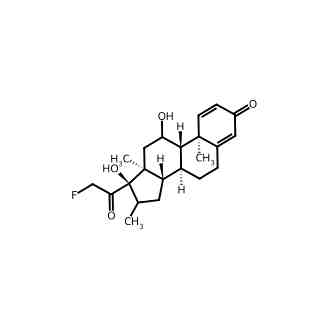 CC1C[C@H]2[C@@H]3CCC4=CC(=O)C=C[C@]4(C)[C@H]3C(O)C[C@]2(C)[C@@]1(O)C(=O)CF